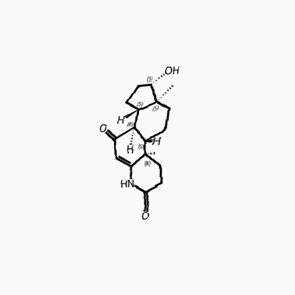 C[C@]12CC[C@H]3[C@@H](C(=O)C=C4NC(=O)CC[C@@]43C)[C@@H]1CC[C@@H]2O